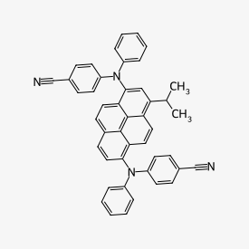 CC(C)c1cc(N(c2ccccc2)c2ccc(C#N)cc2)c2ccc3ccc(N(c4ccccc4)c4ccc(C#N)cc4)c4ccc1c2c34